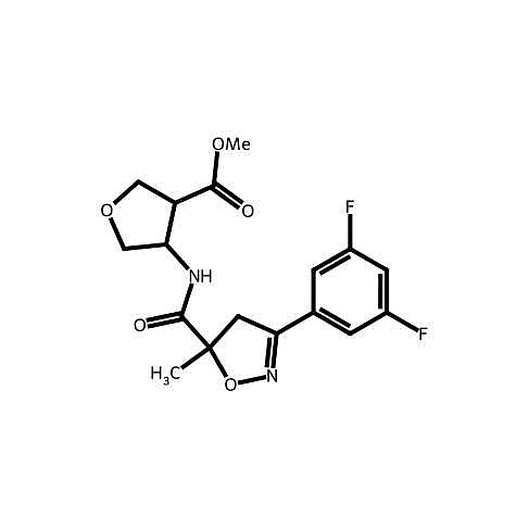 COC(=O)C1COCC1NC(=O)C1(C)CC(c2cc(F)cc(F)c2)=NO1